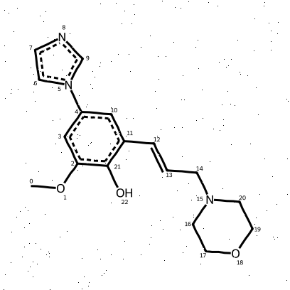 COc1cc(-n2ccnc2)cc(C=CCN2CCOCC2)c1O